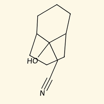 N#CCC1(O)C2CCCC1CCC2